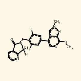 [2H]C1([2H])c2ncccc2C(=O)N1Cc1c(F)cc(-c2cnc(OC)c3nn(C)cc23)cc1F